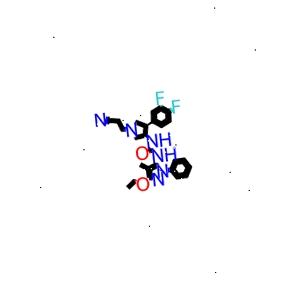 CCOc1nn(-c2ccccc2)c(NC(=O)N[C@@H]2CN(CCC#N)C[C@H]2c2ccc(F)c(F)c2)c1C